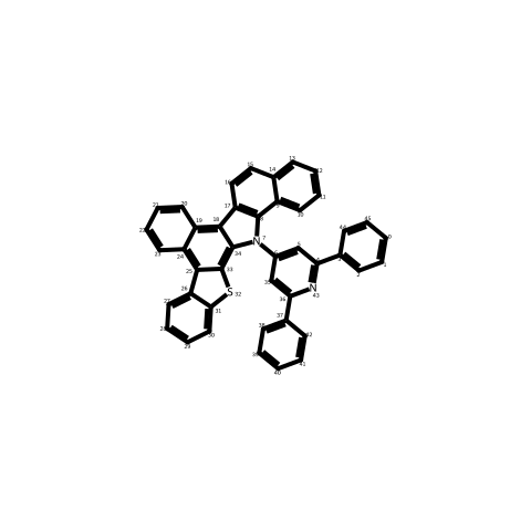 c1ccc(-c2cc(-n3c4c5ccccc5ccc4c4c5ccccc5c5c6ccccc6sc5c43)cc(-c3ccccc3)n2)cc1